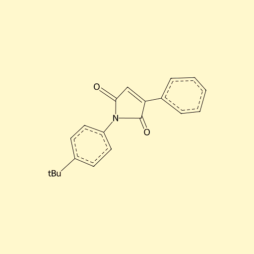 CC(C)(C)c1ccc(N2C(=O)C=C(c3ccccc3)C2=O)cc1